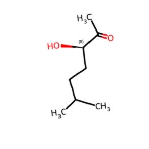 CC(=O)[C@H](O)CCC(C)C